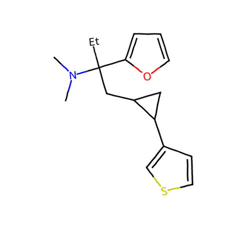 CCC(CC1CC1c1ccsc1)(c1ccco1)N(C)C